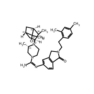 Cc1ccc(CCN2Cc3cc(N=C(N)N4CCN([C@H]5C[C@@H]6C[C@@H]([C@H]5C)C6(C)C)[C@@H](C)C4)ccc3C2=O)c(C)c1